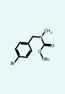 CCCCOC(=O)N(C)Cc1ccc(Br)cc1